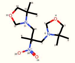 CC1(C)COCN1CC(C)(CN1COCC1(C)C)[N+](=O)[O-]